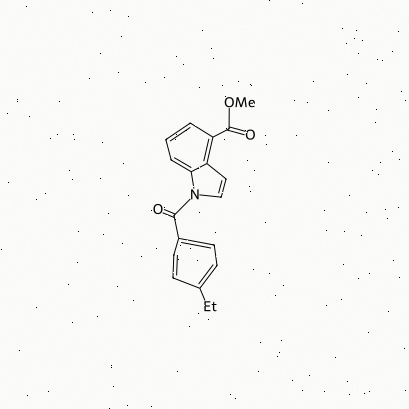 CCc1ccc(C(=O)n2ccc3c(C(=O)OC)cccc32)cc1